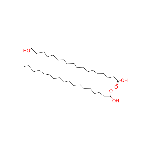 CCCCCCCCCCCCCCCCCC(=O)O.O=C(O)CCCCCCCCCCCCCCCCCO